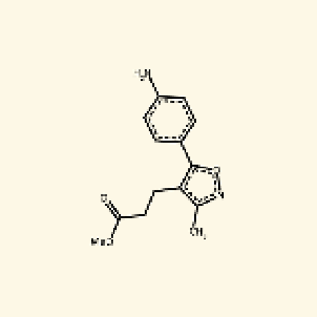 COC(=O)CCc1c(C)noc1-c1ccc(N)cc1